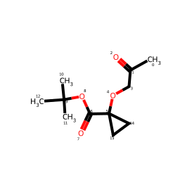 CC(=O)COC1(C(=O)OC(C)(C)C)CC1